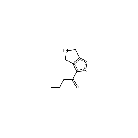 CCCC(=O)c1scc2c1CNC2